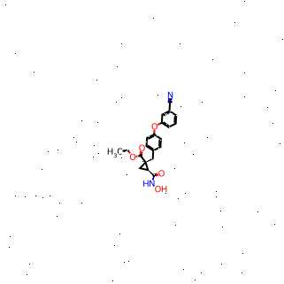 CCOC(=O)[C@@]1(Cc2ccc(Oc3cccc(C#N)c3)cc2)C[C@@H]1C(=O)NO